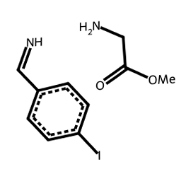 COC(=O)CN.N=Cc1ccc(I)cc1